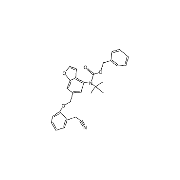 CC(C)(C)N(C(=O)OCc1ccccc1)c1cc(COc2ccccc2CC#N)cc2occc12